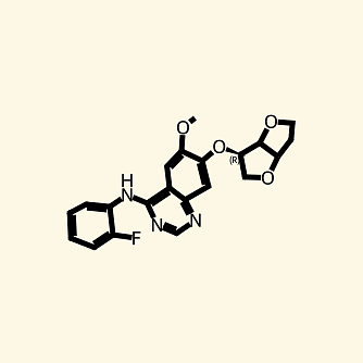 COc1cc2c(Nc3ccccc3F)ncnc2cc1O[C@@H]1COC2CCOC21